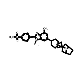 Cc1cc(C2CCN(C3CC4CCC(C3)N4C3COC3)CC2)cc2c1nc(-c1ccc(S(C)(=O)=O)cc1)n2C